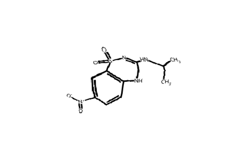 CC(C)NC1=NS(=O)(=O)c2cc([N+](=O)[O-])ccc2N1